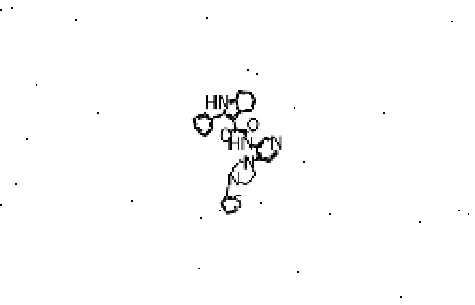 O=C(Nc1cnccc1N1CCN(Cc2cccs2)CC1)C(=O)c1c(-c2ccccc2)[nH]c2ccccc12